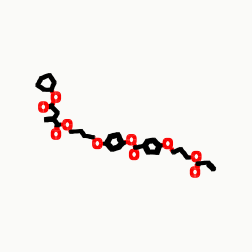 C=CC(=O)OCCCOc1ccc(C(=O)Oc2ccc(OCCCCOC(=O)C(=C)CC(=O)OC3CCCCC3)cc2)cc1